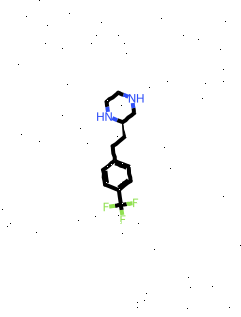 FC(F)(F)c1ccc(CC[C@@H]2CNCCN2)cc1